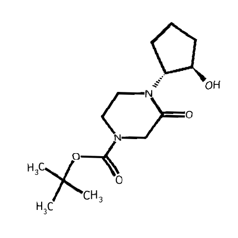 CC(C)(C)OC(=O)N1CCN([C@@H]2CCC[C@H]2O)C(=O)C1